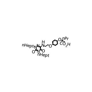 CCCCCCCn1nc(NCCOc2ccc(OC(C)(CCC)C(=O)O)cc2)c(=O)n(CCCCCCC)c1=O